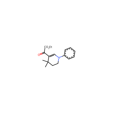 CCOC(=O)C(=O)C1=CN(c2ccccc2)CCC1(C)C